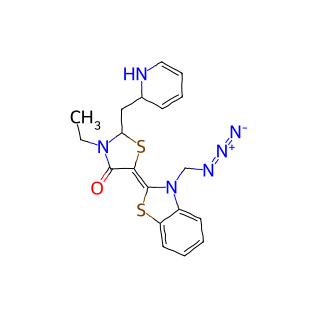 CCN1C(=O)/C(=C2\Sc3ccccc3N2CN=[N+]=[N-])SC1CC1C=CC=CN1